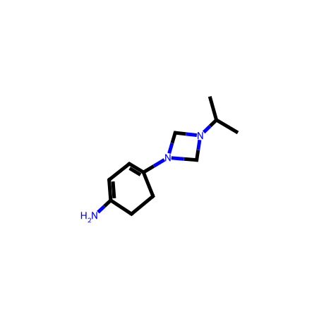 CC(C)N1CN(C2=CC=C(N)CC2)C1